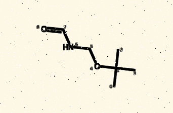 CC(C)(C)OCNC=O